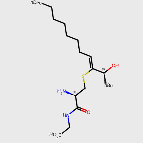 CCCCCCCCCCCCCCCCC=C(SC[C@H](N)C(=O)NCC(=O)O)[C@@H](O)CCCC